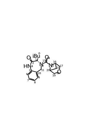 CC[C@H](C)[C@H]1C(=O)Nc2ccccc2CN1C(=O)N1C2COCC1C2